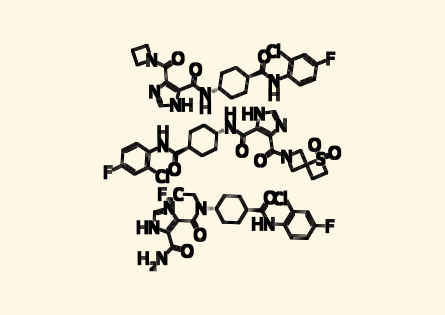 NC(=O)c1[nH]cnc1C(=O)N(CC(F)(F)F)[C@H]1CC[C@H](C(=O)Nc2ccc(F)cc2Cl)CC1.O=C(N[C@H]1CC[C@H](C(=O)Nc2ccc(F)cc2Cl)CC1)c1[nH]cnc1C(=O)N1CC2(CCS2(=O)=O)C1.O=C(N[C@H]1CC[C@H](C(=O)Nc2ccc(F)cc2Cl)CC1)c1[nH]cnc1C(=O)N1CCC1